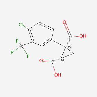 O=C(O)[C@H]1C[C@]1(C(=O)O)c1ccc(Cl)c(C(F)(F)F)c1